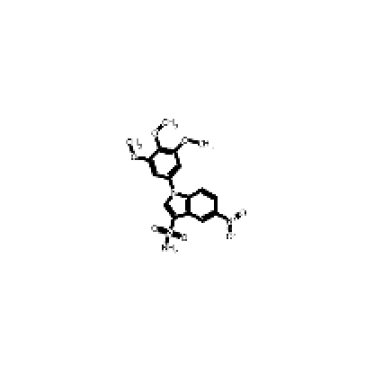 COc1cc(-n2cc(S(N)(=O)=O)c3cc([N+](=O)[O-])ccc32)cc(OC)c1OC